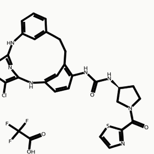 O=C(Nc1ccc2cc1CCc1cccc(c1)Nc1ncc(Cl)c(n1)N2)N[C@H]1CCN(C(=O)c2nccs2)C1.O=C(O)C(F)(F)F